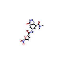 CN(C)C(=O)c1cc(NC(=O)c2ccc([N+](=O)[O-])o2)cc(C(N)=O)c1